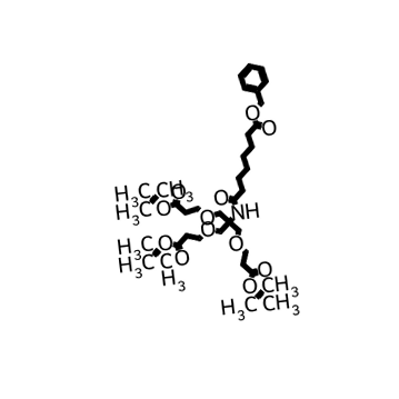 CC(C)(C)OC(=O)CCOCC(COCCC(=O)OC(C)(C)C)(COCCC(=O)OC(C)(C)C)NC(=O)CCCCCCC(=O)OCc1ccccc1